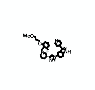 COCCCOc1cccc(F)c1CN1CCC[C@@H](c2cn(-c3ccc4[nH]nc(-c5ccncc5)c4c3)nn2)C1